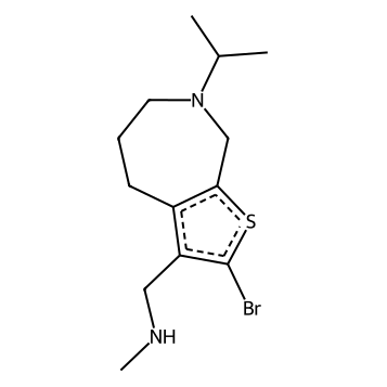 CNCc1c(Br)sc2c1CCCN(C(C)C)C2